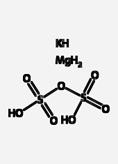 O=S(=O)(O)OS(=O)(=O)O.[KH].[MgH2]